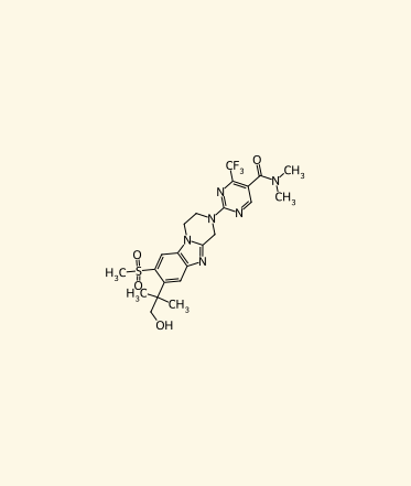 CN(C)C(=O)c1cnc(N2CCn3c(nc4cc(C(C)(C)CO)c(S(C)(=O)=O)cc43)C2)nc1C(F)(F)F